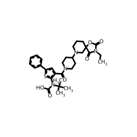 CCN1C(=O)OC2(CCCN(C3CCN(C(=O)c4cc(-c5ccccc5)sc4N(C(=O)O)C(C)(C)C)CC3)C2)C1=O